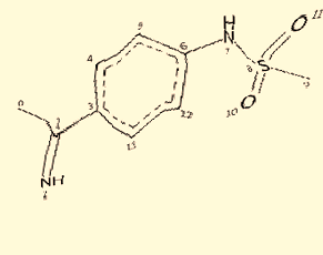 CC(=N)c1ccc(NS(C)(=O)=O)cc1